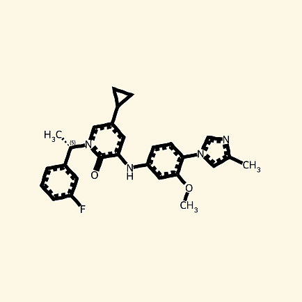 COc1cc(Nc2cc(C3CC3)cn([C@@H](C)c3cccc(F)c3)c2=O)ccc1-n1cnc(C)c1